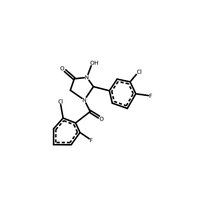 O=C1CN(C(=O)c2c(F)cccc2Cl)C(c2ccc(F)c(Cl)c2)N1O